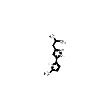 Cc1ccc(-c2cc(CC(C)C)no2)s1